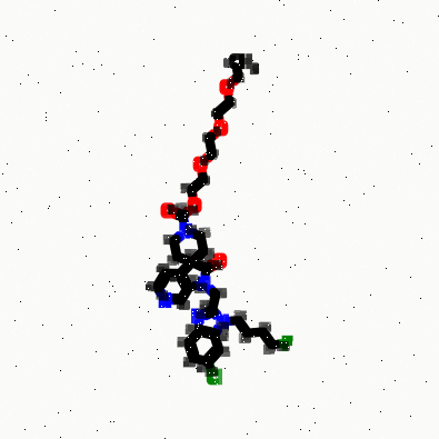 CCOCCOCCOCCOC(=O)N1CCC2(CC1)C(=O)N(Cc1nc3ccc(Cl)cc3n1CCCCF)c1cnccc12